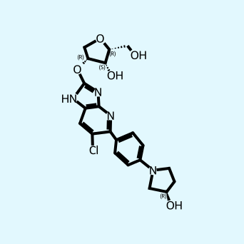 OC[C@H]1OC[C@@H](Oc2nc3nc(-c4ccc(N5CC[C@@H](O)C5)cc4)c(Cl)cc3[nH]2)[C@H]1O